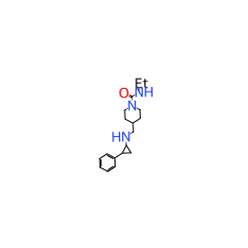 CCNC(=O)N1CCC(CNC2CC2c2ccccc2)CC1